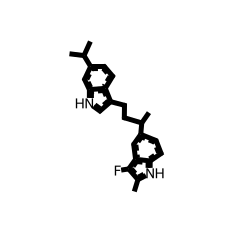 Cc1[nH]c2ccc(C(C)CCc3c[nH]c4cc(C(C)C)ccc34)cc2c1F